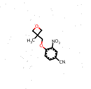 CC1(COc2ccc(C#N)cc2[N+](=O)[O-])COC1